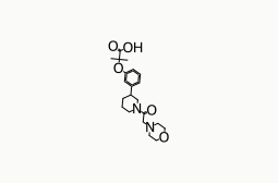 CC(C)(Oc1cccc(C2CCCN(C(=O)CN3CCOCC3)C2)c1)C(=O)O